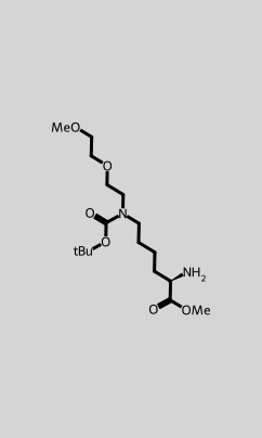 COCCOCCN(CCCC[C@@H](N)C(=O)OC)C(=O)OC(C)(C)C